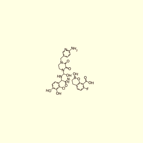 Nc1ccc(CN2CCN(C(O)NC(C(=O)N[C@H]3Cc4ccc(F)c(C(=O)O)c4OB3O)c3ccc(O)c(O)c3Cl)C(=O)C2=O)cn1